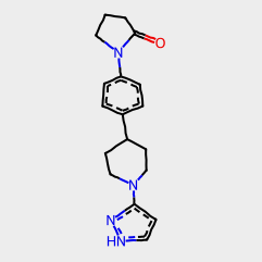 O=C1CCCN1c1ccc(C2CCN(c3cc[nH]n3)CC2)cc1